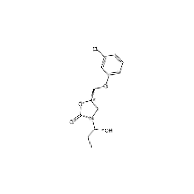 CCC(O)N1C[C@H](COc2cccc(Cl)c2)OC1=O